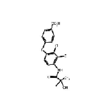 C[C@@](O)(C(=O)Nc1ccc(Sc2ccc(C(=O)O)cc2)c(Cl)c1Cl)C(F)(F)F